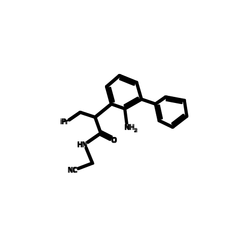 CC(C)CC(C(=O)NCC#N)c1cccc(-c2ccccc2)c1N